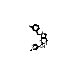 Cn1cc(Nc2ncc3cnn(Cc4cccc(F)c4)c3n2)cn1